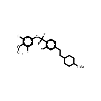 CCCCC1CCC(CCc2ccc(C(F)(F)Oc3cc(F)c(OC(F)(F)F)c(F)c3)c(F)c2)CC1